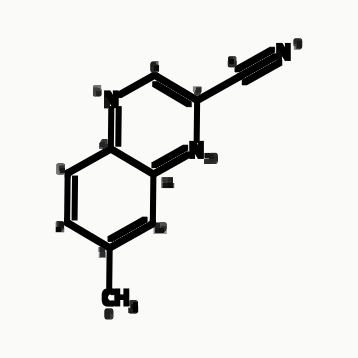 Cc1ccc2ncc(C#N)nc2c1